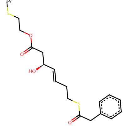 CC(C)SCCOC(=O)C[C@H](O)/C=C/CCSC(=O)Cc1ccccc1